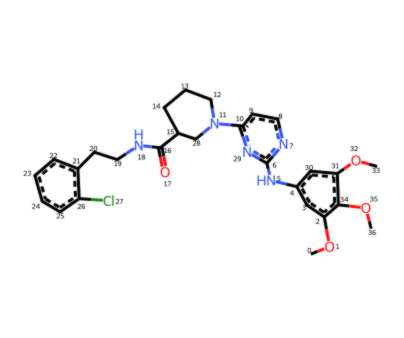 COc1cc(Nc2nccc(N3CCCC(C(=O)NCCc4ccccc4Cl)C3)n2)cc(OC)c1OC